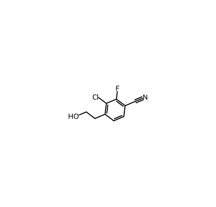 N#Cc1ccc(CCO)c(Cl)c1F